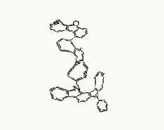 c1ccc(-n2c3ccccc3c3c2ccc2c4ccccc4n(-c4ccc5sc6c(-c7cccc8oc9ccccc9c78)cccc6c5c4)c23)cc1